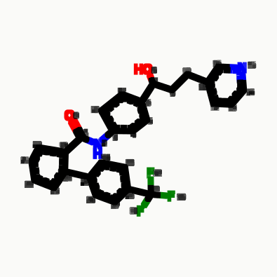 O=C(Nc1ccc(C(O)CCc2cccnc2)cc1)c1ccccc1-c1ccc(C(F)(F)F)cc1